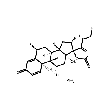 CCC(=O)O[C@]1(C(=O)SCF)[C@H](C)C[C@H]2[C@@H]3C[C@H](F)C4=CC(=O)C=C[C@]4(C)[C@@]3(F)[C@@H](O)C[C@@]21C.[PbH2]